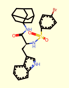 O=C(NC12CC3CC(CC(C3)C1)C2)[C@H](Cc1c[nH]c2ccccc12)NS(=O)(=O)c1ccc(Br)cc1